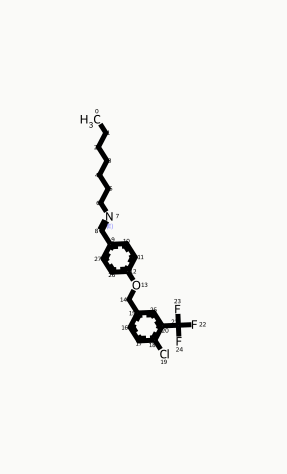 CCCCCCC/N=C/c1ccc(OCc2ccc(Cl)c(C(F)(F)F)c2)cc1